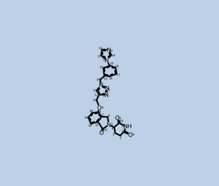 O=C1CCC(N2Cc3c(OCc4cn(Cc5cccc(-n6ccnc6)c5)nn4)cccc3C2=O)C(=O)N1